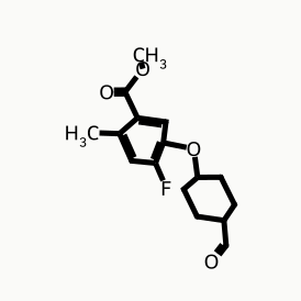 COC(=O)c1cc(OC2CCC(C=O)CC2)c(F)cc1C